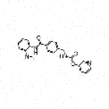 Nc1ccccc1NC(=O)c1ccc(CNC(=O)Oc2cccnc2)cc1